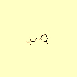 CC1O[C@H](CCP(N)(=O)O)[C@@H](O)[C@H](O)[C@@H]1O